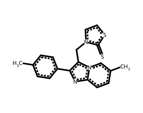 Cc1ccc(-c2nc3ccc(C)cn3c2Cn2ccsc2=S)cc1